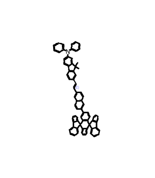 CC1(C)c2cc(/C=C/C3=CC4C=CC(c5ccc6c(c5)C5(c7ccccc7-c7ccccc75)c5ccccc5C65C6=C(CCC=C6)c6ccccc65)=CC4C=C3)ccc2-c2ccc(N(c3ccccc3)c3ccccc3)cc21